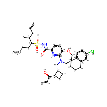 C=CCC(C)C(CCOC)S(=O)(=O)NC(=O)c1ccc2c(n1)N(C[C@@H]1CC[C@H]1C(=O)C=C)C[C@@]1(CCCc3cc(Cl)ccc31)CO2